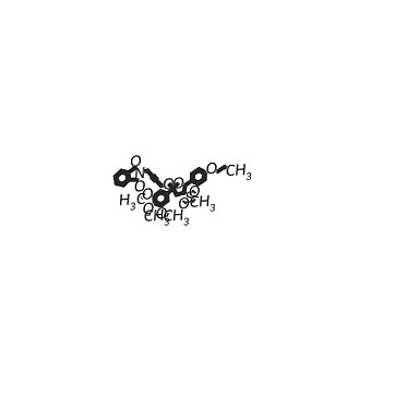 CCCOc1ccc(C2OC(OCC#CCN3C(=O)c4ccccc4C3=O)(c3cc(OC)c(OC)c(OC)c3)CC2S(C)(=O)=O)cc1